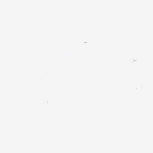 C=CC(=O)OC/C=C(/C)CCC=C(C)C